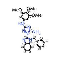 COc1cc(Nc2nc(N)n(-c3nc4ccccc4n3Cc3ccccc3)n2)cc(OC)c1OC